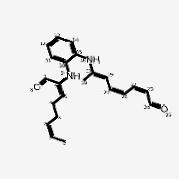 C/C=C\CC/C=C(\C=O)Nc1ccccc1N/C(C)=C/C=C\C=C/C=O